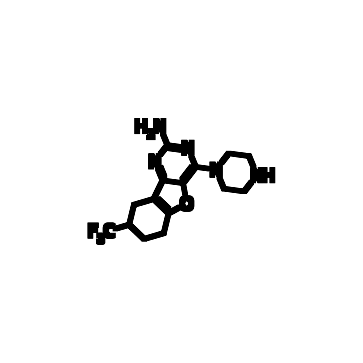 Nc1nc(N2CCNCC2)c2oc3c(c2n1)CC(C(F)(F)F)CC3